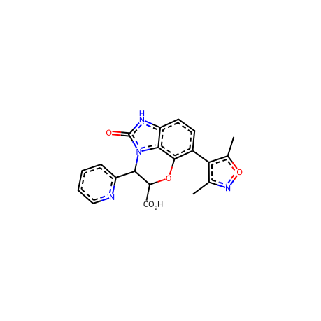 Cc1noc(C)c1-c1ccc2[nH]c(=O)n3c2c1OC(C(=O)O)C3c1ccccn1